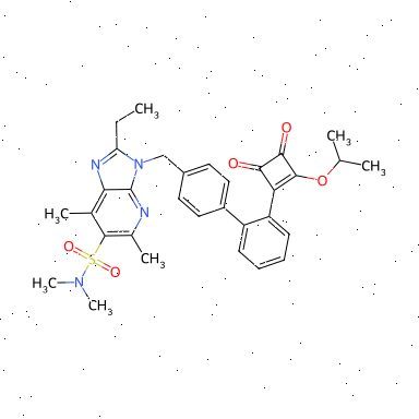 CCc1nc2c(C)c(S(=O)(=O)N(C)C)c(C)nc2n1Cc1ccc(-c2ccccc2-c2c(OC(C)C)c(=O)c2=O)cc1